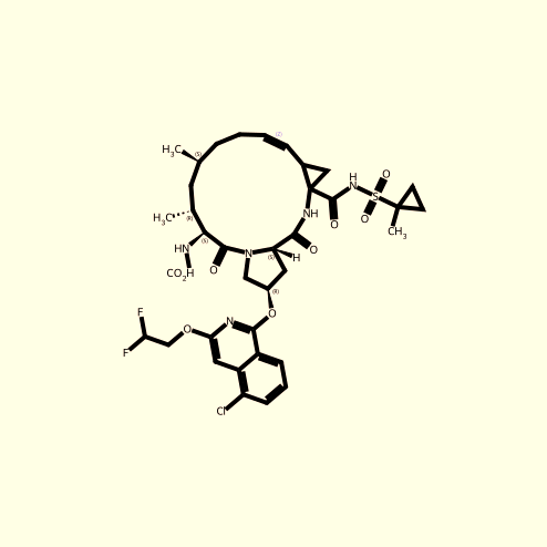 C[C@H]1CC/C=C\C2CC2(C(=O)NS(=O)(=O)C2(C)CC2)NC(=O)[C@@H]2C[C@@H](Oc3nc(OCC(F)F)cc4c(Cl)cccc34)CN2C(=O)[C@@H](NC(=O)O)[C@H](C)C1